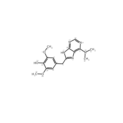 COc1cc(Cc2nc3c(N(C)C)ncnc3[nH]2)cc(OC)c1O